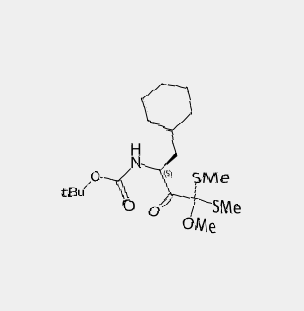 COC(SC)(SC)C(=O)[C@H](CC1CCCCC1)NC(=O)OC(C)(C)C